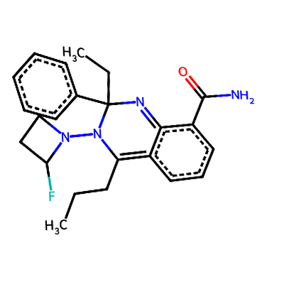 CCCC1=c2cccc(C(N)=O)c2=NC(CC)(c2ccccc2)N1N1CCC1F